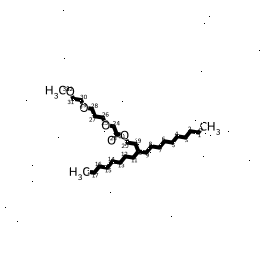 CCCCCCCCCCC(CCCCCCCC)CCOC(=O)COCCCOCCOC